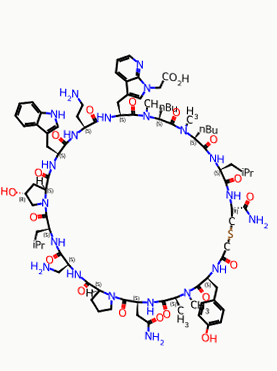 CCCC[C@H]1C(=O)N(C)[C@@H](CCCC)C(=O)N[C@@H](CC(C)C)C(=O)N[C@H](C(N)=O)CSCC(=O)N[C@@H](Cc2ccc(O)cc2)C(=O)N(C)[C@@H](C)C(=O)N[C@@H](CC(N)=O)C(=O)N2CCC[C@H]2C(=O)N[C@@H](CN)C(=O)N[C@@H](CC(C)C)C(=O)N2C[C@H](O)C[C@H]2C(=O)N[C@@H](Cc2c[nH]c3ccccc23)C(=O)N[C@@H](CCN)C(=O)N[C@@H](Cc2cn(CC(=O)O)c3ncccc23)C(=O)N1C